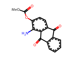 COC(=O)Oc1ccc2c(c1N)C(=O)c1ccccc1C2=O